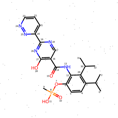 CC(C)c1ccc(OP(C)(=O)O)c(NC(=O)c2cnc(-c3cccnn3)nc2O)c1C(C)C